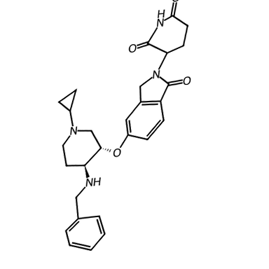 O=C1CCC(N2Cc3cc(O[C@H]4CN(C5CC5)CC[C@@H]4NCc4ccccc4)ccc3C2=O)C(=O)N1